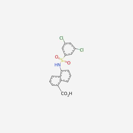 O=C(O)c1cccc2c(NS(=O)(=O)c3cc(Cl)cc(Cl)c3)cccc12